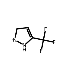 FC(F)(F)C1=CC[N]N1